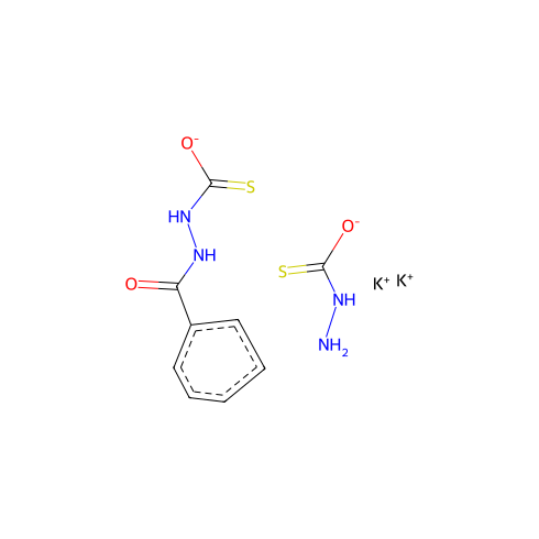 NNC([O-])=S.O=C(NNC([O-])=S)c1ccccc1.[K+].[K+]